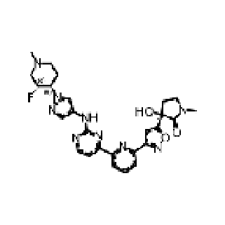 CN1CC[C@@H](n2cc(Nc3nccc(-c4cccc(-c5cc([C@]6(O)CCN(C)C6=O)on5)n4)n3)cn2)[C@H](F)C1